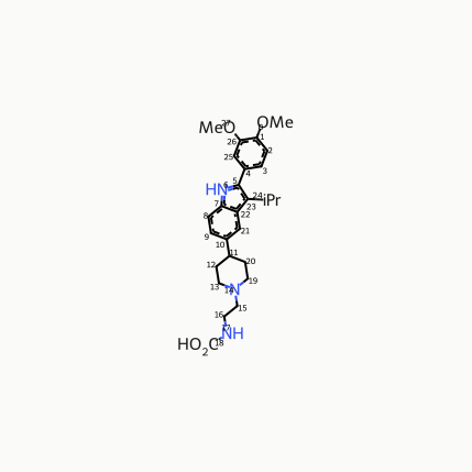 COc1ccc(-c2[nH]c3ccc(C4CCN(CCNC(=O)O)CC4)cc3c2C(C)C)cc1OC